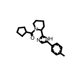 Cc1ccc(-c2cnc(C3CCCCN3C(=O)C3CCCC3)[nH]2)cc1